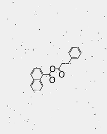 O=C(CCc1ccccc1)OC(=O)c1cccc2ccccc12